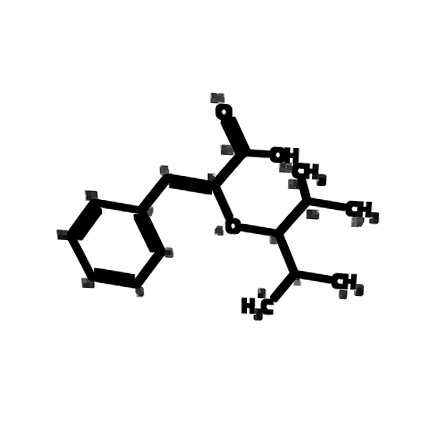 CC(C)C(OC(=Cc1ccccc1)C(=O)O)C(C)C